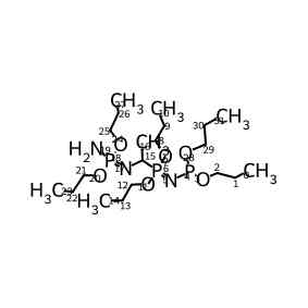 CCCOP(N=P(OCCC)(OCCC)C(C)N=P(N)(OCCC)OCCC)OCCC